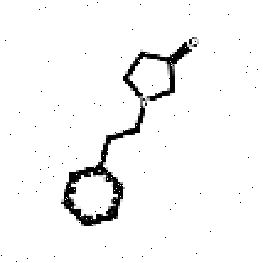 O=C1CCN(CCc2ccccc2)C1